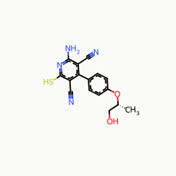 C[C@H](CO)Oc1ccc(-c2c(C#N)c(N)nc(S)c2C#N)cc1